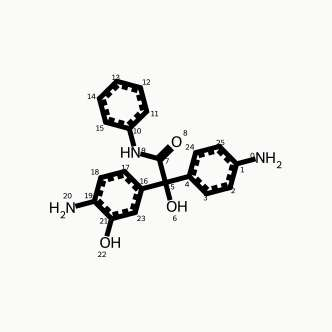 Nc1ccc(C(O)(C(=O)Nc2ccccc2)c2ccc(N)c(O)c2)cc1